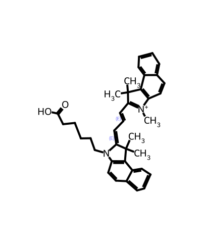 C[N+]1=C(/C=C/C=C2/N(CCCCCC(=O)O)c3ccc4ccccc4c3C2(C)C)C(C)(C)c2c1ccc1ccccc21